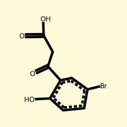 O=C(O)CC(=O)c1cc(Br)ccc1O